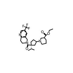 CCOC(=O)C1CCCN(C2CC[C@@](C(=O)N3CCc4ncc(C(F)(F)F)cc4C3)(C(C)C)C2)C1